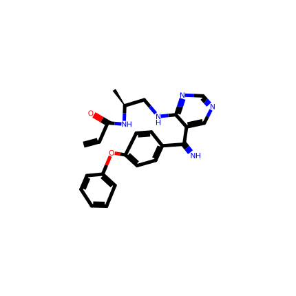 C=CC(=O)N[C@@H](C)CNc1ncncc1C(=N)c1ccc(Oc2ccccc2)cc1